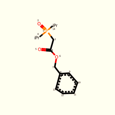 CC(C)P(=O)(CC(=O)OCc1ccccc1)C(C)C